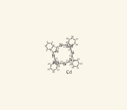 [Cd].c1ccc2c(c1)-c1nc-2nc2[nH]c(nc3nc(nc4[nH]c(n1)c1ccccc41)-c1ccccc1-3)c1ccccc21